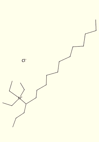 CCCCCCCCCCCCC(CCC)[N+](CC)(CC)CC.[Cl-]